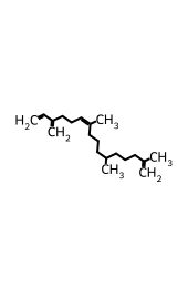 C=CC(=C)CCC=C(C)CCCC(C)CCCC(=C)C